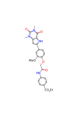 CCOC(=O)c1ccc(NC(=O)COc2ccc(-c3cc4c([nH]3)c(=O)n(C)c(=O)n4C)cc2OC)cc1